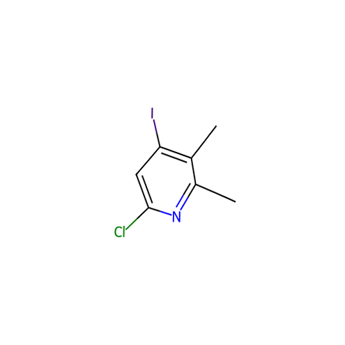 Cc1nc(Cl)cc(I)c1C